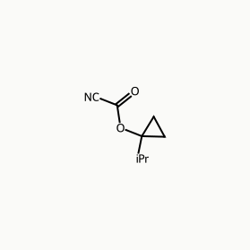 CC(C)C1(OC(=O)C#N)CC1